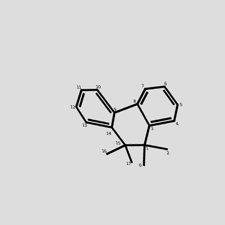 CC1(C)c2ccccc2-c2ccccc2C1(C)C